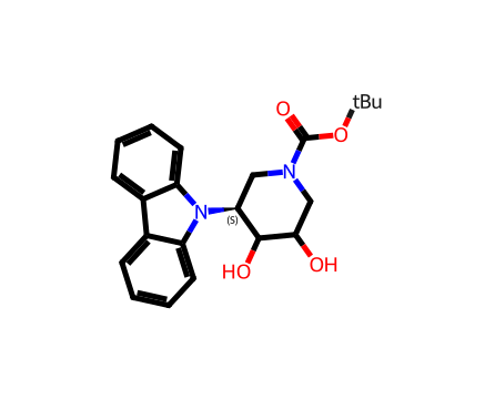 CC(C)(C)OC(=O)N1CC(O)C(O)[C@@H](n2c3ccccc3c3ccccc32)C1